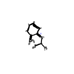 C=C1C=CC=C/C1=N/C(C)F